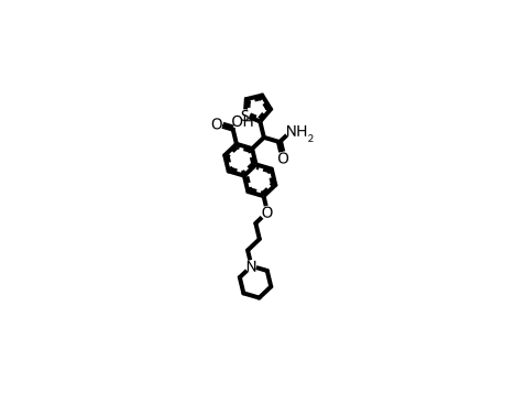 NC(=O)C(c1cccs1)c1c(C(=O)O)ccc2cc(OCCCN3CCCCC3)ccc12